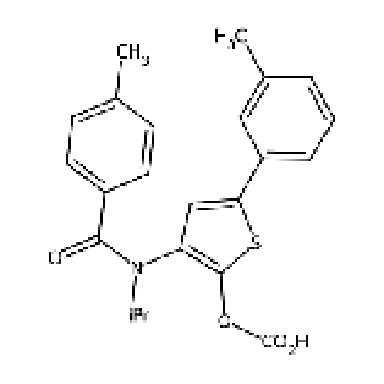 Cc1ccc(C(=O)N(c2cc(-c3cccc(C)c3)sc2OC(=O)O)C(C)C)cc1